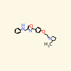 CC1CCCN1CCCOc1ccc(-c2nc(CNc3ccccc3)co2)cc1